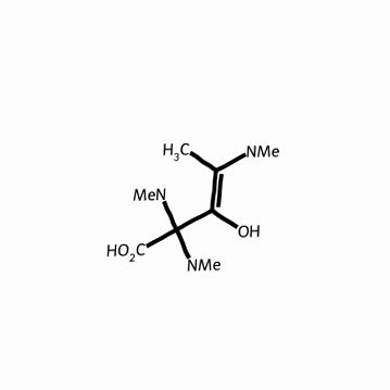 CNC(C)=C(O)C(NC)(NC)C(=O)O